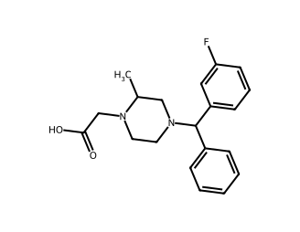 CC1CN(C(c2ccccc2)c2cccc(F)c2)CCN1CC(=O)O